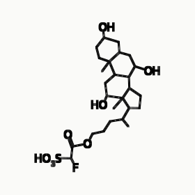 CC(CCCOC(=O)C(F)S(=O)(=O)O)C1CCC2C3C(O)CC4CC(O)CCC4(C)C3CC(O)C12C